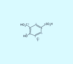 O=C(O)c1cc(S(=O)(=O)O)ccc1O.[C]